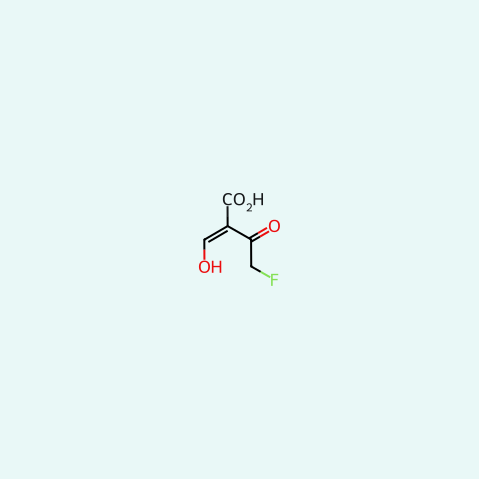 O=C(O)C(=CO)C(=O)CF